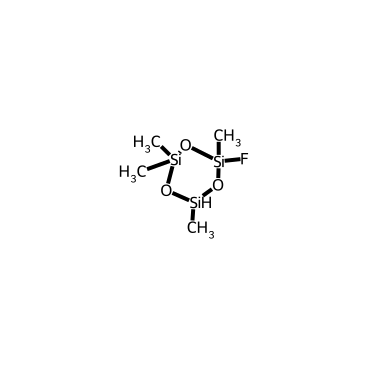 C[SiH]1O[Si](C)(C)O[Si](C)(F)O1